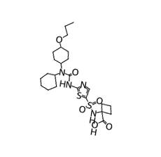 CCCOC1CCC(N(C(=O)Nc2ncc(S(=O)(=O)NC3(C(=O)O)CCC3)s2)C2CCCCC2)CC1